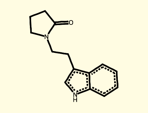 O=C1CCCN1CCc1c[nH]c2ccccc12